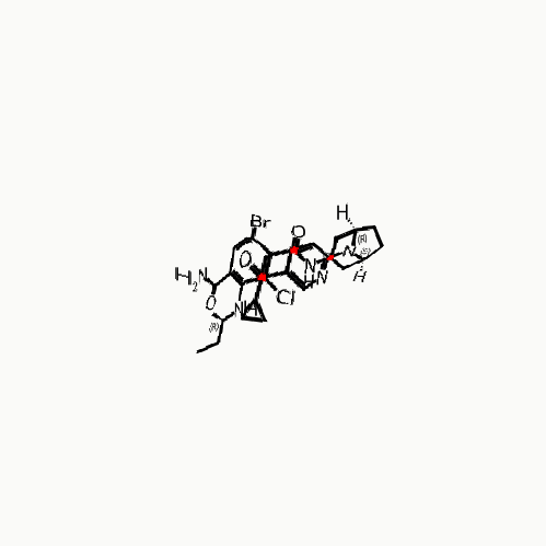 CC[C@@H](C)Nc1c(C(N)=O)cc(Br)c(C(=O)N[C@H]2C[C@H]3CC[C@@H](C2)N3c2ccc(C(=O)C3CC3)cn2)c1Cl